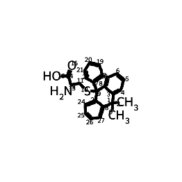 CC1(C)c2ccccc2C(SCC(N)C(=O)O)(c2ccccc2)c2ccccc21